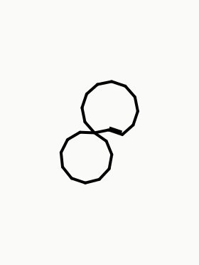 C1=C/C2(CCCCCCCCC/1)CCCCCCCCCC2